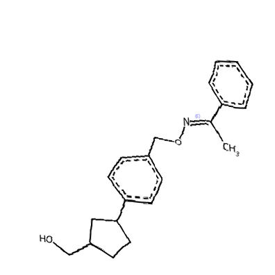 C/C(=N\OCc1ccc(C2CCC(CO)C2)cc1)c1ccccc1